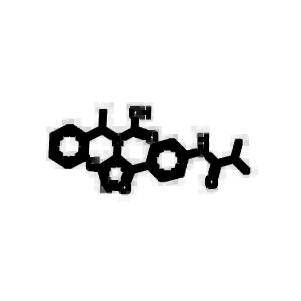 Cc1noc(-c2ccc(NC(=O)C(C)C)cc2)c1N(C(=O)O)C(C)c1ccccc1Cl